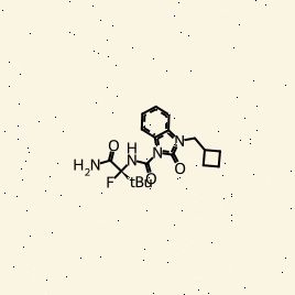 CC(C)(C)[C@](F)(NC(=O)n1c(=O)n(CC2CCC2)c2ccccc21)C(N)=O